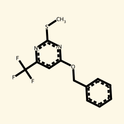 CSc1nc(OCc2ccccc2)cc(C(F)(F)F)n1